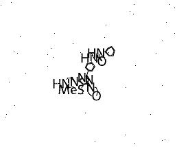 CSc1c(N2CCNCC2)nc(-c2ccc(NC(=O)Nc3ccccc3)cc2)nc1N1CCOCC1